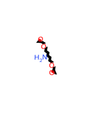 NC(CCCOCC1CO1)CCCOCC1CO1